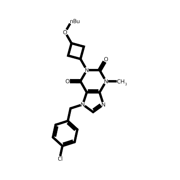 CCCCOC1CC(n2c(=O)c3c(ncn3Cc3ccc(Cl)cc3)n(C)c2=O)C1